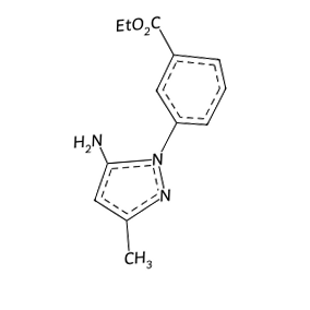 CCOC(=O)c1cccc(-n2nc(C)cc2N)c1